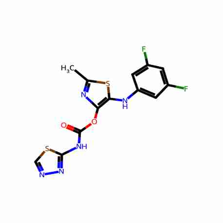 Cc1nc(OC(=O)Nc2nncs2)c(Nc2cc(F)cc(F)c2)s1